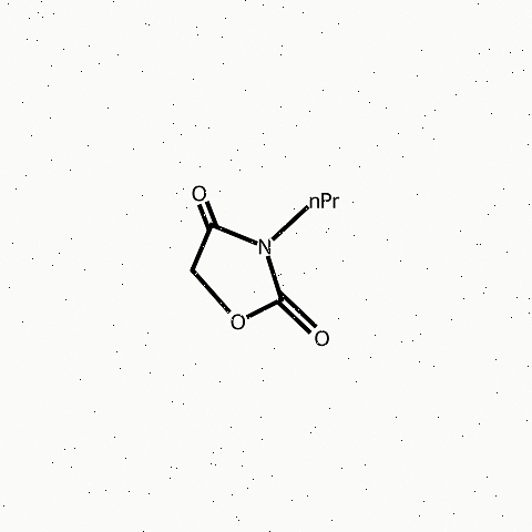 CCCN1C(=O)COC1=O